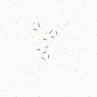 CS(=O)(=O)N(CCN1CCCCC1)c1ccc2c(c1)C(=O)N(CC(=O)O[C@@H](Cc1c(Cl)c[n+]([O-])cc1Cl)c1ccc(OC(F)F)c(OCC3CC3)c1)C2=O